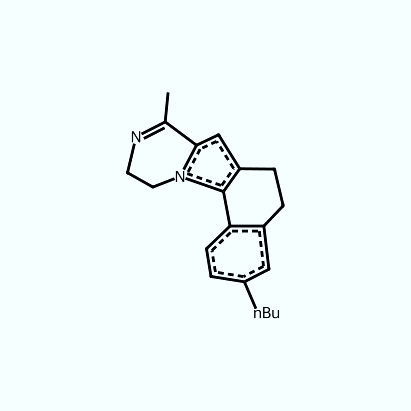 CCCCc1ccc2c(c1)CCc1cc3n(c1-2)CCN=C3C